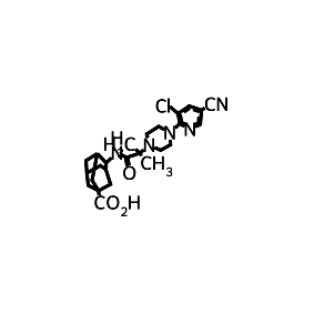 CC(C)(C(=O)NC1C2CC3CC1CC(C(=O)O)(C3)C2)N1CCN(c2ncc(C#N)cc2Cl)CC1